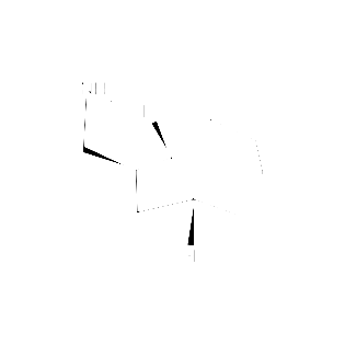 NC[C@@H]1C[C@H]2CCCC[C@@H]12